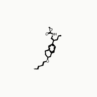 CCCCCOC1CCc2cc(C(CCC)CNC(=O)OC)ccc2C1